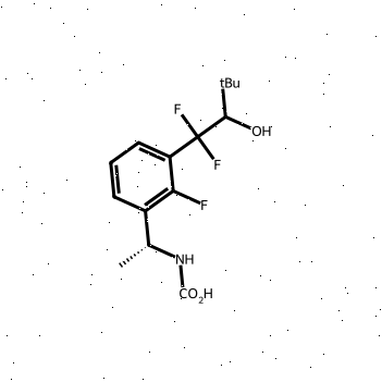 C[C@@H](NC(=O)O)c1cccc(C(F)(F)C(O)C(C)(C)C)c1F